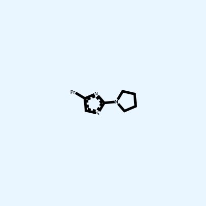 CC(C)c1csc(N2CCCC2)n1